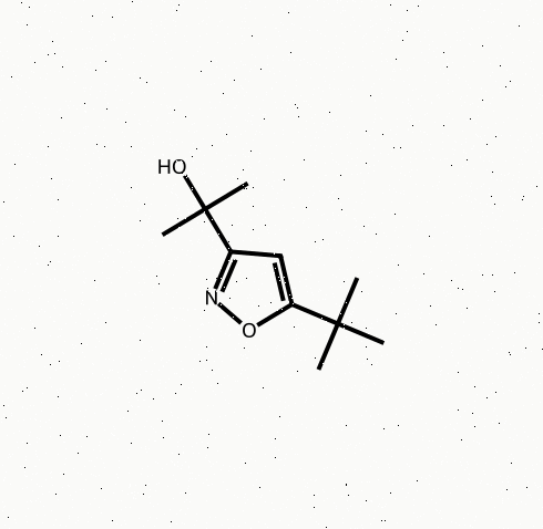 CC(C)(C)c1cc(C(C)(C)O)no1